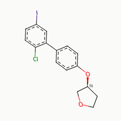 Clc1ccc(I)cc1-c1ccc(O[C@H]2CCOC2)cc1